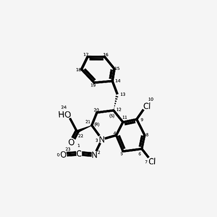 O=C=NN1c2cc(Cl)cc(Cl)c2[C@@H](Cc2ccccc2)C[C@@H]1C(=O)O